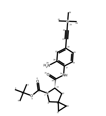 CC(C)(C)OC(=O)N1CC2(CC2)C[C@H]1C(=O)Nc1ccc(C#C[Si](C)(C)C)cc1N